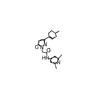 Cc1cc(NC(=O)Cn2nc(C3=CCC(C)CC3)ccc2=O)cc(C)n1